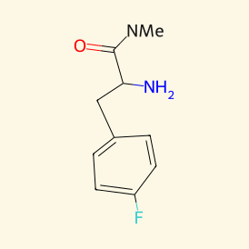 CNC(=O)C(N)Cc1ccc(F)cc1